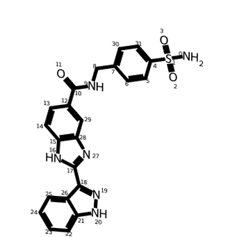 NS(=O)(=O)c1ccc(CNC(=O)c2ccc3[nH]c(-c4n[nH]c5ccccc45)nc3c2)cc1